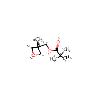 CC1(COC(=O)C(C)(C)C)COC1